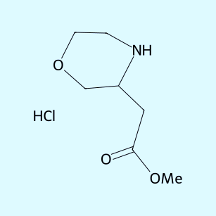 COC(=O)CC1COCCN1.Cl